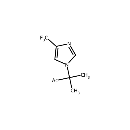 CC(=O)C(C)(C)n1cnc(C(F)(F)F)c1